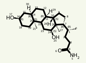 C[C@H](CCC(N)=O)[C@H]1CC[C@H]2[C@@H]3CC[C@@H]4C[C@H](O)CC[C@]4(C)C3C[C@H](O)[C@]12C